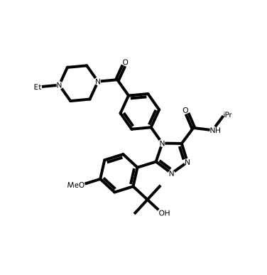 CCN1CCN(C(=O)c2ccc(-n3c(C(=O)NC(C)C)nnc3-c3ccc(OC)cc3C(C)(C)O)cc2)CC1